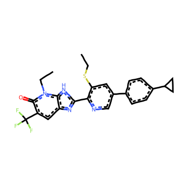 CCSc1cc(-c2ccc(C3CC3)cc2)cnc1-c1nc2cc(C(F)(F)F)c(=O)n(CC)c2[nH]1